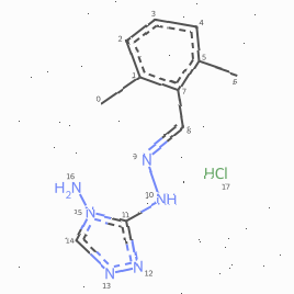 Cc1cccc(C)c1C=NNc1nncn1N.Cl